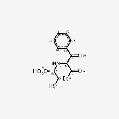 CCC(=O)C(N[C@H](CS)C(=O)O)C(=O)c1ccccc1